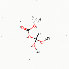 CCOC(C)(OCC)OC(=O)OC(=O)O